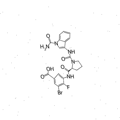 NC(=O)n1cc(NC(=O)N2CCC[C@H]2C(=O)Nc2cc(C(=O)O)cc(Br)c2F)c2ccccc21